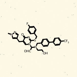 Cn1cc(Cc2cn(C(C=O)N(CCO)Cc3ccc(-c4ccc(C(F)(F)F)cc4)cc3)c(SCc3ccc(F)cc3)nc2=O)cn1